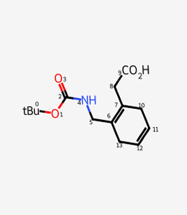 CC(C)(C)OC(=O)NCC1=C(CC(=O)O)CC=CC1